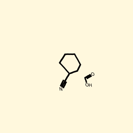 N#CC1CCCCC1.O=CO